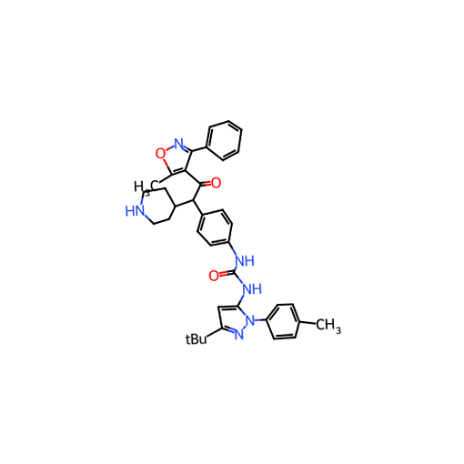 Cc1ccc(-n2nc(C(C)(C)C)cc2NC(=O)Nc2ccc(C(C(=O)c3c(-c4ccccc4)noc3C)C3CCNCC3)cc2)cc1